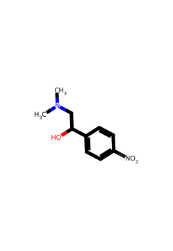 CN(C)CC(O)c1ccc([N+](=O)[O-])cc1